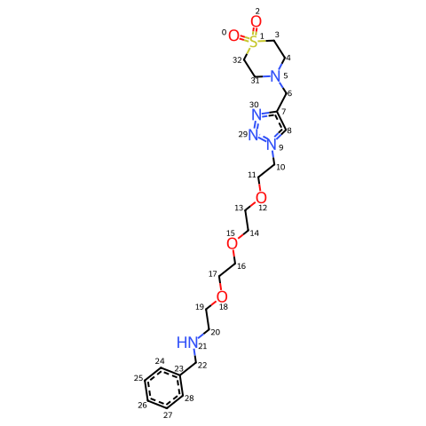 O=S1(=O)CCN(Cc2cn(CCOCCOCCOCCNCc3ccccc3)nn2)CC1